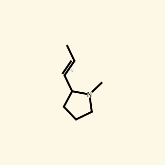 C/C=C/C1CCCN1C